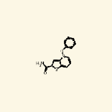 NC(=O)C1C=C2C(=CC=CN2Oc2ccccc2)S1